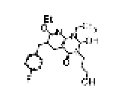 CCOC1=NC2=C(CC1Cc1ccc(F)cc1)C(=O)N(CCCO)C(O)N2CC(F)(F)F